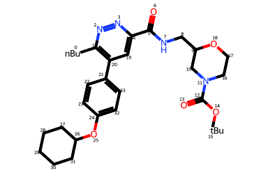 CCCCc1nnc(C(=O)NCC2CN(C(=O)OC(C)(C)C)CCO2)cc1-c1ccc(OC2CCCCC2)cc1